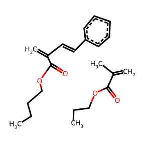 C=C(C)C(=O)OCCC.C=C(C=Cc1ccccc1)C(=O)OCCCC